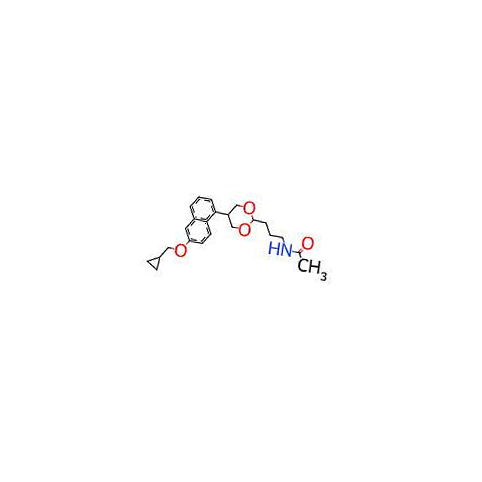 CC(=O)NCCCC1OCC(c2cccc3cc(OCC4CC4)ccc23)CO1